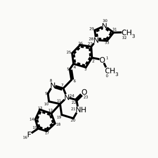 COc1cc(/C=C/C2=NCCC3(c4ccc(F)cc4)CCNC(=O)N23)ccc1-n1cnc(C)c1